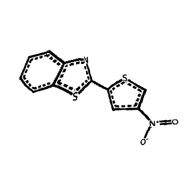 O=[N+]([O-])c1csc(-c2nc3ccccc3s2)c1